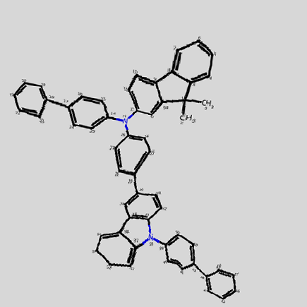 CC1(C)c2ccccc2-c2ccc(N(c3ccc(-c4ccccc4)cc3)c3ccc(-c4ccc5c(c4)c4c(n5-c5ccc(-c6ccccc6)cc5)=CCCC=4)cc3)cc21